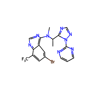 CC(c1ncnn1-c1ncccn1)N(C)c1ncnc2c(C(F)(F)F)cc(Br)cc12